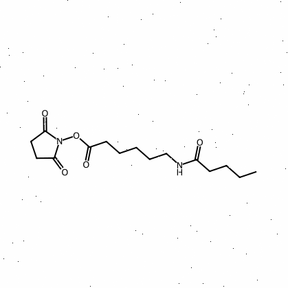 CCCCC(=O)NCCCCCC(=O)ON1C(=O)CCC1=O